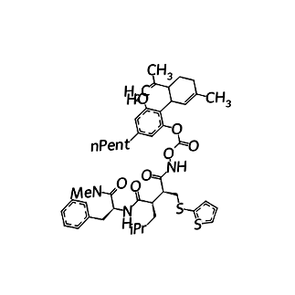 C=C(C)C1CCC(C)=CC1c1c(O)cc(CCCCC)cc1OC(=O)ONC(=O)[C@@H](CSc1cccs1)[C@@H](CC(C)C)C(=O)N[C@@H](Cc1ccccc1)C(=O)NC